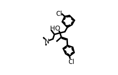 CC(=Cc1ccc(Cl)cc1)C(O)(Cc1cccc(Cl)c1)C(C)CN(C)C